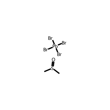 CS(C)=O.[Br][Pb]([Br])([Br])[Br]